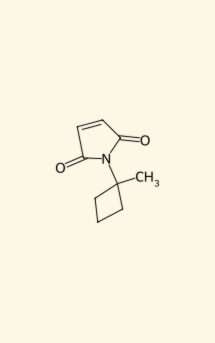 CC1(N2C(=O)C=CC2=O)CCC1